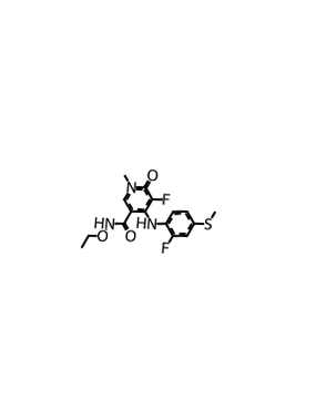 CCONC(=O)c1cn(C)c(=O)c(F)c1Nc1ccc(SC)cc1F